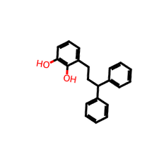 Oc1cccc(CCC(c2ccccc2)c2ccccc2)c1O